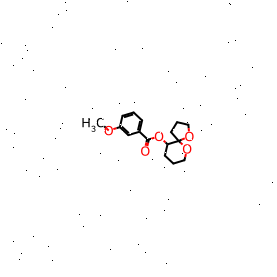 COc1cccc(C(=O)OC2CCCOC23CCCO3)c1